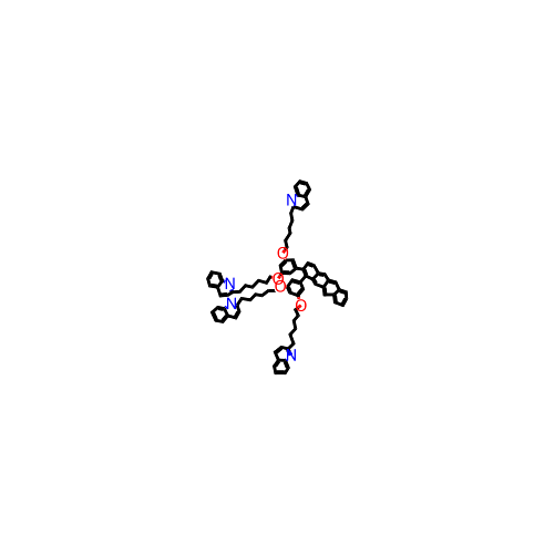 c1ccc2cc3cc4c(-c5cc(OCCCCCCc6ccc7ccccc7n6)cc(OCCCCCCc6ccc7ccccc7n6)c5)c(-c5cc(OCCCCCCc6ccc7ccccc7n6)cc(OCCCCCCc6ccc7ccccc7n6)c5)ccc4cc3cc2c1